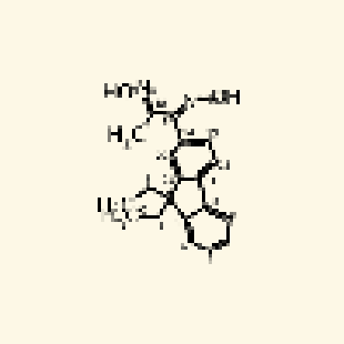 CCC1(CC)c2ccccc2-c2ccc(C(=N\O)/C(C)=N/O)cc21